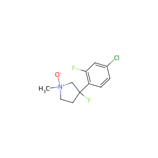 C[N+]1([O-])CCC(F)(c2ccc(Cl)cc2F)C1